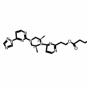 CCCC(=O)OCCc1nccc(N2[C@H](C)CN(c3nccc(-n4cncn4)n3)C[C@@H]2C)n1